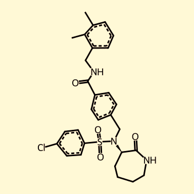 Cc1cccc(CNC(=O)c2ccc(CN([C@@H]3CCCCNC3=O)S(=O)(=O)c3ccc(Cl)cc3)cc2)c1C